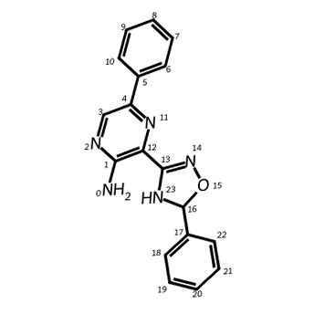 Nc1ncc(-c2ccccc2)nc1C1=NOC(c2ccccc2)N1